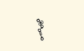 O=C(OC1CC2C=C(c3cccc(OCC4CC5C=CC4C5)c3)C1C2)c1ccccc1